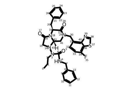 CCCN(C(=O)NCc1ccccc1)N1CC(=O)N2[C@@H](Cc3ccccc3)C(=O)N(Cc3ccc(F)c4scnc34)C[C@@H]21